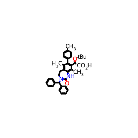 Cc1ccc(-c2c(C)c3c(c(C)c2[C@H](OC(C)(C)C)C(=O)O)NC(=O)N(C(c2ccccc2)c2ccccc2)CC3)cc1